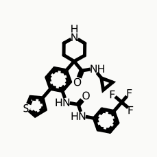 O=C(Nc1cccc(C(F)(F)F)c1)Nc1cc(C2(C(=O)NC3CC3)CCNCC2)ccc1-c1ccsc1